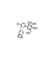 OC[C@H]1O[C@@H](c2ccc(Cl)c(Cc3ccc4ncnn4c3)c2)[C@H](O)[C@@H](O)[C@@H]1O